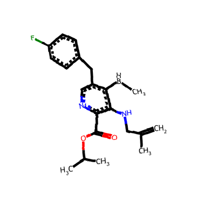 C=C(C)CNc1c(C(=O)OC(C)C)ncc(Cc2ccc(F)cc2)c1BC